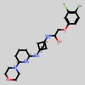 OC(COc1ccc(Cl)c(F)c1)NC12CC(NC3CCCC(N4CCOCC4)N3)(C1)C2